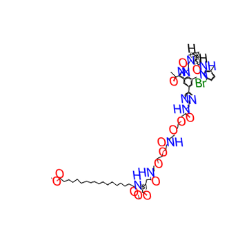 COC(=O)CCCCCCCCCCCCCCCCC(=O)N[C@@H](CCC(=O)NCCOCCOCC(=O)NCCOCCOCC(=O)NCc1ncc(-c2cc(C)c3c(c2)c(C(C)=O)nn3CC(=O)N2C[C@H]3C[C@H]3[C@H]2C(=O)Nc2nc(Br)ccc2C)cn1)C(=O)OC